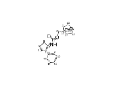 O=C(Nc1ccsc1-c1ccccc1)OCC12CCN(CC1)CC2